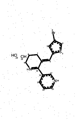 Brc1csc(C=C2CCCN=C2c2cccnc2)c1.Cl.Cl